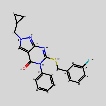 O=c1c2cn(CC3CC3)nc2nc(SCc2cccc(F)c2)n1-c1ccccc1